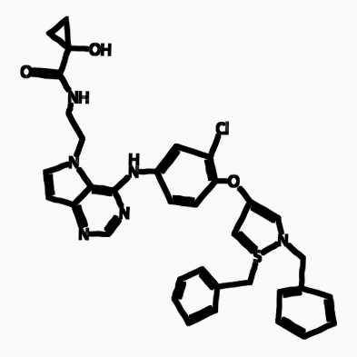 O=C(NCCn1ccc2ncnc(Nc3ccc(OC4=CN(Cc5ccccc5)S(Cc5ccccc5)=C4)c(Cl)c3)c21)C1(O)CC1